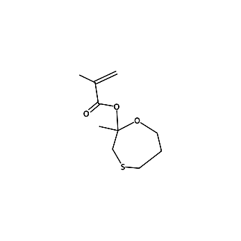 C=C(C)C(=O)OC1(C)CSCCCO1